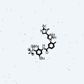 COc1c(NC(=O)c2ccc(C)c(N3C=C(C4CN=C(C(C)=O)N4C)NN3)c2)cc(C(C)(C)C)cc1NS(C)(=O)=O